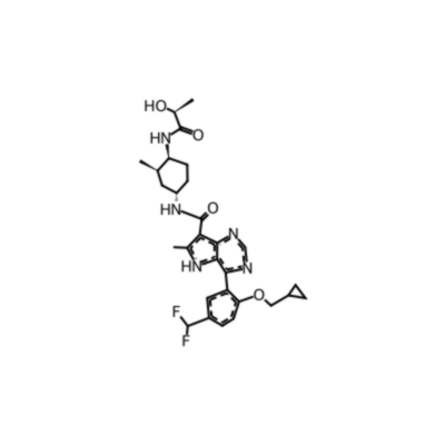 Cc1[nH]c2c(-c3cc(C(F)F)ccc3OCC3CC3)ncnc2c1C(=O)N[C@H]1CC[C@H](NC(=O)[C@H](C)O)[C@H](C)C1